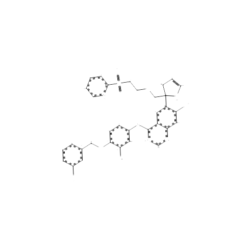 O=S(=O)(CCOCC1(c2cc3c(Nc4ccc(OCc5cccc(F)c5)c(Br)c4)ncnc3cc2F)CC=CO1)c1ccccn1